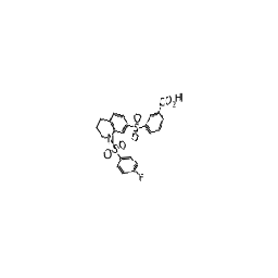 O=C(O)c1cccc(S(=O)(=O)c2ccc3c(c2)N(S(=O)(=O)c2ccc(F)cc2)CCC3)c1